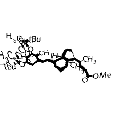 C=C1/C(=C\C=C2/CCC[C@]3(C)[C@@H]([C@H](C)/C=C/C(=O)OC)CC[C@@H]23)C[C@@H](O[Si](C)(C)C(C)(C)C)C[C@@H]1O[Si](C)(C)C(C)(C)C